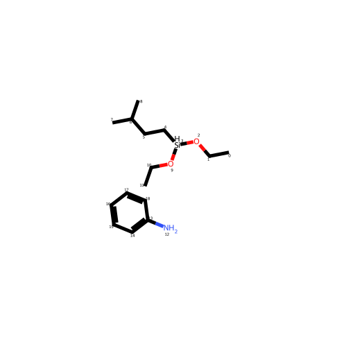 CCO[SiH](CCC(C)C)OCC.Nc1ccccc1